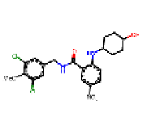 COc1c(Cl)cc(CNC(=O)c2cc([N+](=O)[O-])ccc2NC2CCC(O)CC2)cc1Cl